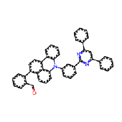 O=Cc1ccccc1-c1ccc2c3c(cccc13)N(c1cccc(-c3nc(-c4ccccc4)cc(-c4ccccc4)n3)c1)c1ccccc1-2